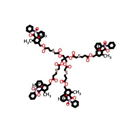 Cc1cc(COC(=O)CCSCC(=O)OCC(COC(=O)CSCCC(=O)OCc2cc(C)c(C(=O)P(=O)(c3ccccc3)c3ccccc3)c(C)c2)(COC(=O)CSCCC(=O)OCc2cc(C)c(C(=O)P(=O)(c3ccccc3)c3ccccc3)c(C)c2)COC(=O)CSCCC(=O)OCc2cc(C)c(C(=O)P(=O)(c3ccccc3)c3ccccc3)c(C)c2)cc(C)c1C(=O)P(=O)(c1ccccc1)c1ccccc1